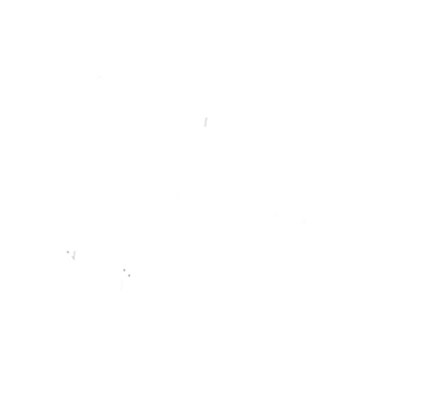 Fc1cc(F)cc(-c2ccnc3[nH]cc(Sc4ccc(Cl)cc4)c23)c1